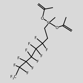 C=C(C)O[Si](C)(CCC(F)(F)C(F)(F)C(F)(F)C(F)(F)C(F)(F)C(F)(F)F)OC(=C)C